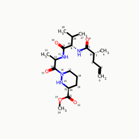 C=CC[C@@H](C)C(=O)N[C@H](C(=O)NC(C)C(=O)N1CCC[C@@H](C(=O)OC)N1)C(C)C